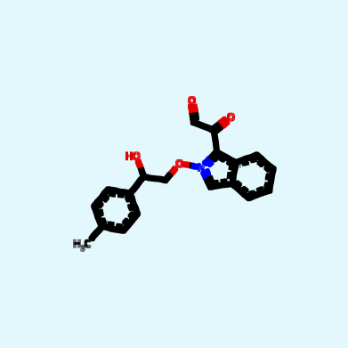 Cc1ccc(C(O)COn2cc3ccccc3c2C(=O)C=O)cc1